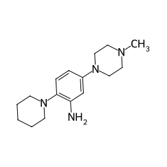 CN1CCN(c2ccc(N3CCCCC3)c(N)c2)CC1